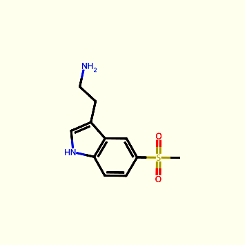 CS(=O)(=O)c1ccc2[nH]cc(CCN)c2c1